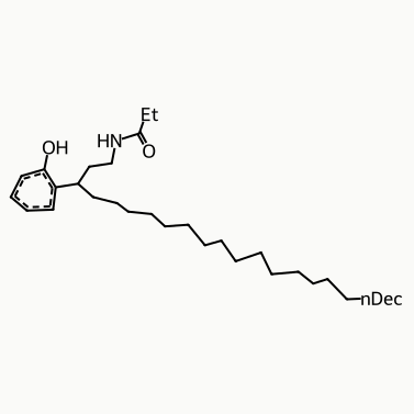 CCCCCCCCCCCCCCCCCCCCCCCCCC(CCNC(=O)CC)c1ccccc1O